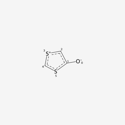 [O-]c1c[s+]cs1